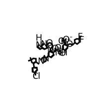 CC1(C)CCC(CN2CCN(c3ccc(C(=O)NS(=O)(=O)c4ccc(OCC5CCC(F)(F)CC5)c([N+](=O)[O-])c4)c(N4CCOc5nc6[nH]ccc6cc54)c3)CC2)=C(c2ccc(Cl)cc2)C1